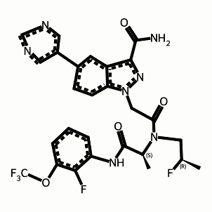 C[C@@H](F)CN(C(=O)Cn1nc(C(N)=O)c2cc(-c3cncnc3)ccc21)[C@@H](C)C(=O)Nc1cccc(OC(F)(F)F)c1F